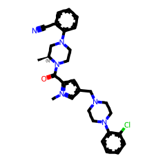 C[C@H]1CN(c2ccccc2C#N)CCN1C(=O)c1cc(CN2CCN(c3ccccc3Cl)CC2)cn1C